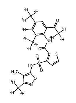 [2H]c1c(C([2H])([2H])[2H])cc(C(=O)C([2H])([2H])[2H])c(NC(=O)c2sccc2S(=O)(=O)Nc2onc(C([2H])([2H])[2H])c2C)c1C([2H])([2H])[2H]